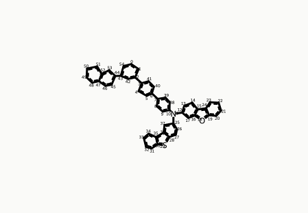 c1cc(-c2ccc(-c3ccc(N(c4ccc5c(c4)oc4ccccc45)c4ccc5sc6ccccc6c5c4)cc3)cc2)cc(-c2ccc3ccccc3c2)c1